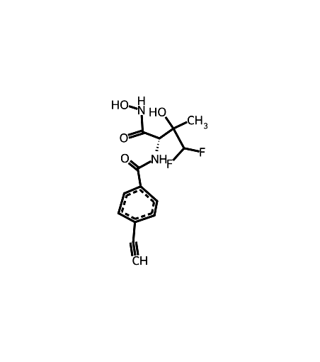 C#Cc1ccc(C(=O)N[C@H](C(=O)NO)C(C)(O)C(F)F)cc1